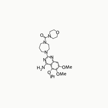 COc1cc2nc(N3CCCN(C(=O)N4CCOCC4)CC3)nc(N)c2c(OC(C)C)c1OC